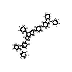 c1ccc(-n2c3ccccc3c3cc(-c4ccc(-c5cc6c(s5)c5sc(-c7ccc8c(c7)c7ccccc7n8-c7ccccc7)cc5n6-c5ccccc5)cc4)ccc32)cc1